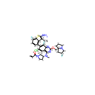 C=CC(=O)N1CC[C@@H](N(C)c2nc(OC[C@@]34CCCN3C[C@H](F)C4)nc3c(F)c(-c4ccc(F)c5sc(N)c(C#N)c45)c(Cl)cc23)[C@H]1C